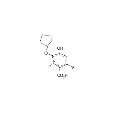 Cc1c(OC2CCCC2)c(O)cc(F)c1C(=O)O